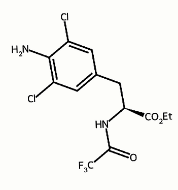 CCOC(=O)[C@H](Cc1cc(Cl)c(N)c(Cl)c1)NC(=O)C(F)(F)F